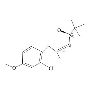 COc1ccc(C/C(C)=N\[S@@+]([O-])C(C)(C)C)c(Cl)c1